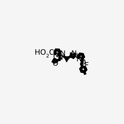 Cc1ccc(COc2cccc(-n3cc(C4CC4c4nc5ccc(C(=O)O)nc5n4CC4CCO4)cn3)n2)c(F)c1